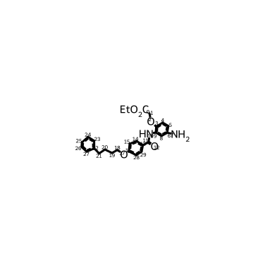 CCOC(=O)COc1ccc(N)cc1NC(=O)c1ccc(OCCCCc2ccccc2)cc1